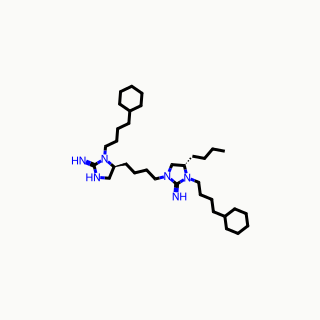 CCCC[C@H]1CN(CCCC[C@H]2CNC(=N)N2CCCCC2CCCCC2)C(=N)N1CCCCC1CCCCC1